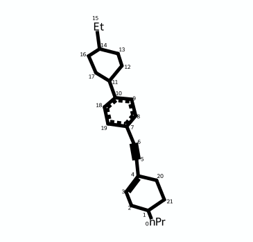 CCCC1CC=C(C#Cc2ccc(C3CCC(CC)CC3)cc2)CC1